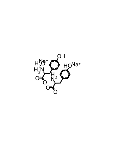 N[C@@H](Cc1ccc(O)cc1)C(=O)[O-].N[C@@H](Cc1ccc(O)cc1)C(=O)[O-].O.[Na+].[Na+]